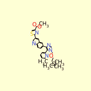 COC(=O)c1csc(-c2cnc3ccc(-c4ncn(COCC[Si](C)(C)C)c4-c4cccc(C)n4)cc3c2)n1